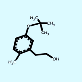 Cc1ccc(OC(C)(C)C)cc1CCO